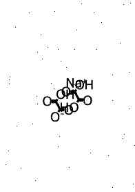 O=C(O)C(=O)O.O=C([O-])C(=O)O.[Na+]